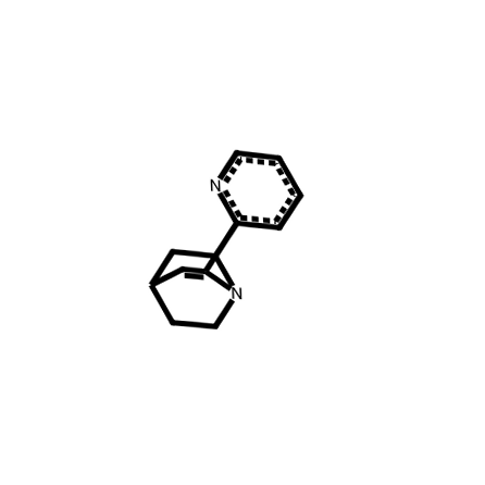 C1=C(c2ccccn2)N2CCC1CC2